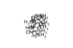 C=C1C2=C(C)[C@]3(O)C(=C)C(C(N)=O)=C(O)[C@@H](N(C)C)[C@@H]3C[C@@H]2[C@H](O)c2c(Cl)ccc(C)c21